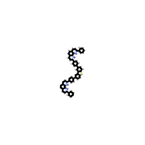 c1ccc(-c2ccc3ccc4ccc(-c5ccc(-c6ccc7sc8ccc(-c9ccc(-c%10ccc%11ccc%12ccc(-c%13ccccc%13)nc%12c%11n%10)cc9)cc8c7c6)cc5)nc4c3n2)cc1